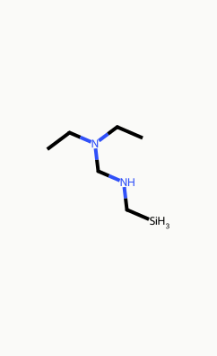 CCN(CC)CNC[SiH3]